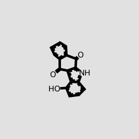 O=C1c2ccccc2C(=O)c2c1[nH]c1cccc(O)c21